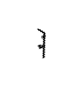 CCCCCC/C=C\COC(=O)CCCCCCCN(CCCCCCCCCC)SCC(C)N(C)C